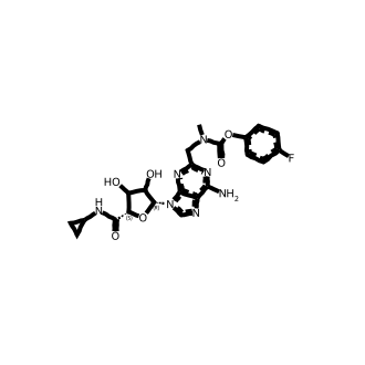 CN(Cc1nc(N)c2ncn([C@@H]3O[C@H](C(=O)NC4CC4)C(O)C3O)c2n1)C(=O)Oc1ccc(F)cc1